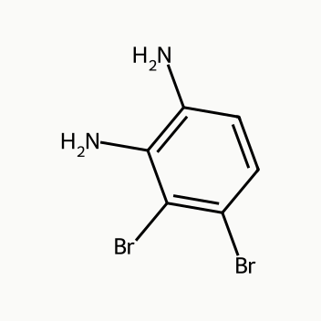 Nc1ccc(Br)c(Br)c1N